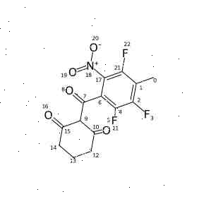 Cc1c(F)c(F)c(C(=O)C2C(=O)CCCC2=O)c([N+](=O)[O-])c1F